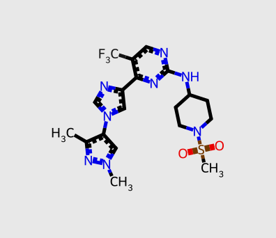 Cc1nn(C)cc1-n1cnc(-c2nc(NC3CCN(S(C)(=O)=O)CC3)ncc2C(F)(F)F)c1